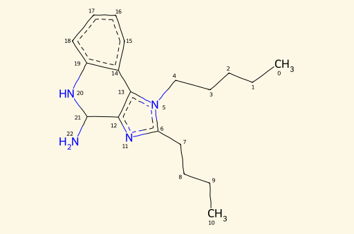 CCCCCn1c(CCCC)nc2c1-c1ccccc1NC2N